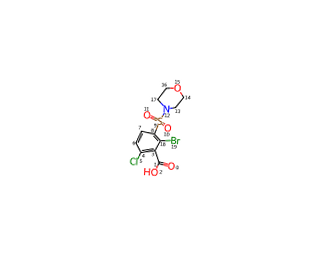 O=C(O)c1c(Cl)ccc(S(=O)(=O)N2CCOCC2)c1Br